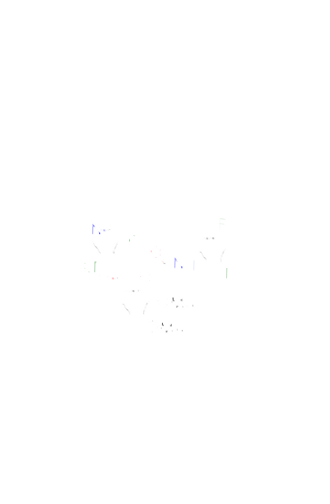 COc1ccc(C(=O)Cc2c(Cl)cncc2Cl)c(OCC(=O)NCc2cc(F)cc(F)c2)c1OC